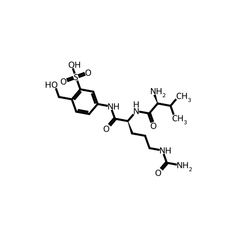 CC(C)[C@H](N)C(=O)N[C@@H](CCCNC(N)=O)C(=O)Nc1ccc(CO)c(S(=O)(=O)O)c1